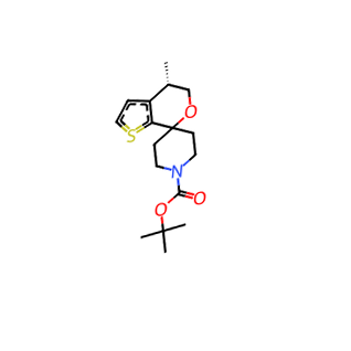 C[C@@H]1COC2(CCN(C(=O)OC(C)(C)C)CC2)c2sccc21